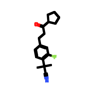 CC(C)(C#N)c1ccc(CCC(=O)C2CCCC2)cc1F